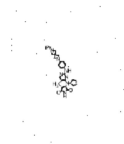 Cc1cnc(Nc2ccc(N3CC4(C3)CN(C(C)C)C4)cc2)nc1N(C1CCCC1)C1CC(=O)NC1=O